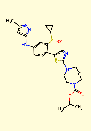 Cc1cc(Nc2ccc(-c3cnc(N4CCCN(C(=O)OC(C)C)CC4)s3)c([S+]([O-])C3CC3)c2)n[nH]1